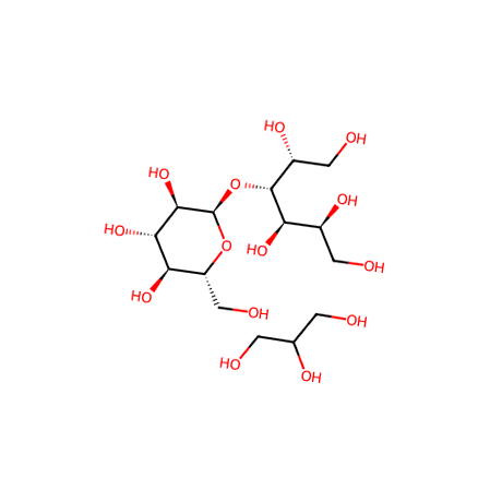 OCC(O)CO.OC[C@@H](O)[C@@H](O[C@H]1O[C@H](CO)[C@@H](O)[C@H](O)[C@H]1O)[C@H](O)[C@@H](O)CO